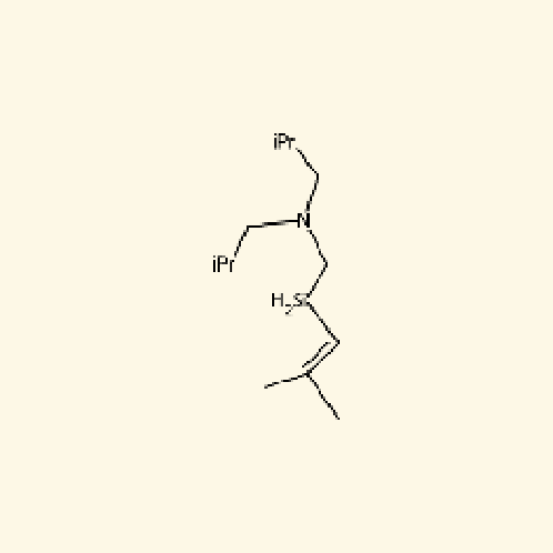 CC(C)=C[SiH2]CN(CC(C)C)CC(C)C